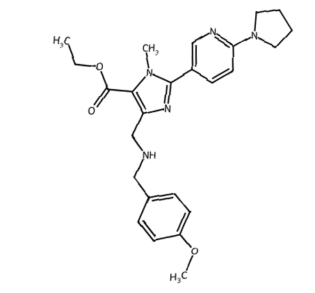 CCOC(=O)c1c(CNCc2ccc(OC)cc2)nc(-c2ccc(N3CCCC3)nc2)n1C